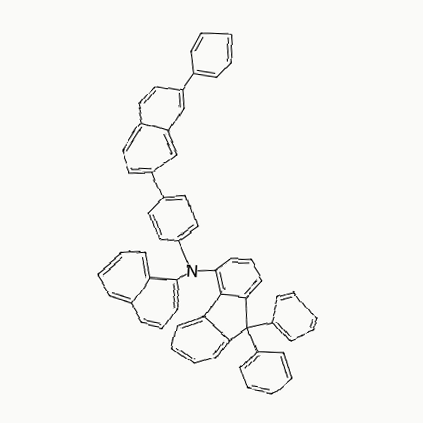 c1ccc(-c2ccc3ccc(-c4ccc(N(c5cccc6c5-c5ccccc5C6(c5ccccc5)c5ccccc5)c5cccc6ccccc56)cc4)cc3c2)cc1